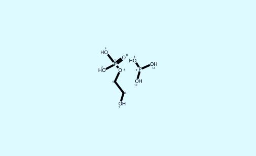 O=P(O)(O)OCCO.OP(O)O